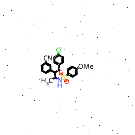 COc1ccc(S(=O)(=O)NC(C)C(Cc2ccc(Cl)cc2)c2cccc(C#N)c2)cc1